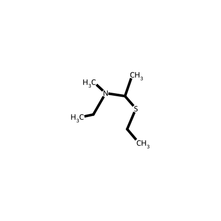 CCSC(C)N(C)CC